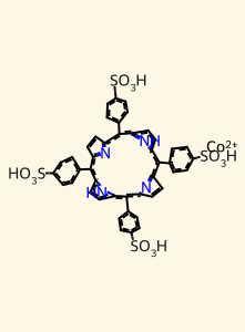 O=S(=O)(O)c1ccc(-c2c3nc(c(-c4ccc(S(=O)(=O)O)cc4)c4ccc([nH]4)c(-c4ccc(S(=O)(=O)O)cc4)c4nc(c(-c5ccc(S(=O)(=O)O)cc5)c5ccc2[nH]5)C=C4)C=C3)cc1.[Co+2]